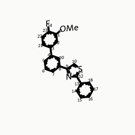 COc1cc(-c2cccc(-c3csc(-c4ccccc4)n3)c2)ccc1F